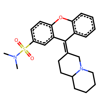 CN(C)S(=O)(=O)c1ccc2c(c1)C(=C1CCC3CCCCN3C1)c1ccccc1O2